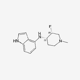 CN1CC[C@H](Nc2cccc3[nH]ccc23)[C@H](F)C1